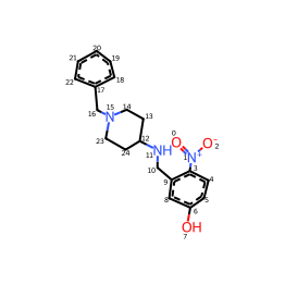 O=[N+]([O-])c1ccc(O)cc1CNC1CCN(Cc2ccccc2)CC1